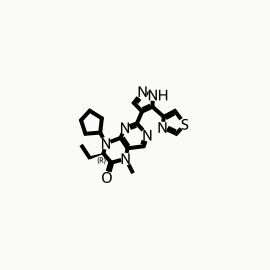 CC[C@@H]1C(=O)N(C)c2cnc(-c3cn[nH]c3-c3cscn3)nc2N1C1CCCC1